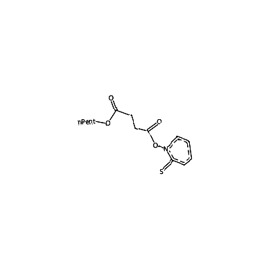 CCCCCOC(=O)CCC(=O)On1ccccc1=S